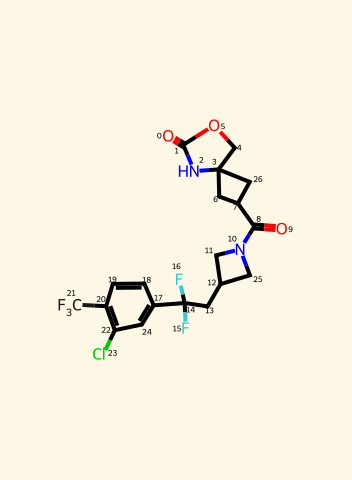 O=C1NC2(CO1)CC(C(=O)N1CC(CC(F)(F)c3ccc(C(F)(F)F)c(Cl)c3)C1)C2